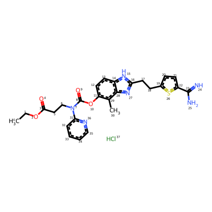 CCOC(=O)CCN(C(=O)Oc1ccc2[nH]c(CCc3ccc(C(=N)N)s3)nc2c1C)c1ccccn1.Cl